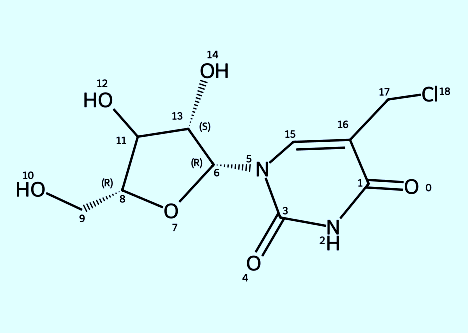 O=c1[nH]c(=O)n([C@@H]2O[C@H](CO)C(O)[C@@H]2O)cc1CCl